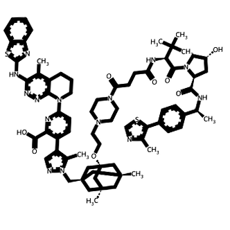 Cc1ncsc1-c1ccc([C@H](C)NC(=O)[C@@H]2C[C@@H](O)CN2C(=O)[C@@H](NC(=O)CCC(=O)N2CCN(CCO[C@]34C[C@@]5(C)C[C@](C)(C[C@](Cn6ncc(-c7ccc(N8CCCc9c8nnc(Nc8nc%10ccccc%10s8)c9C)nc7C(=O)O)c6C)(C5)C3)C4)CC2)C(C)(C)C)cc1